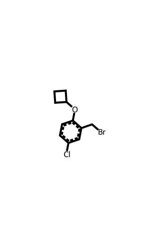 Clc1ccc(OC2CCC2)c(CBr)c1